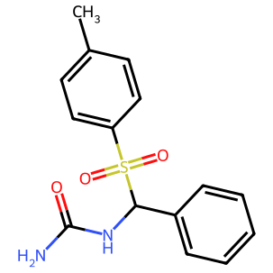 Cc1ccc(S(=O)(=O)C(NC(N)=O)c2ccccc2)cc1